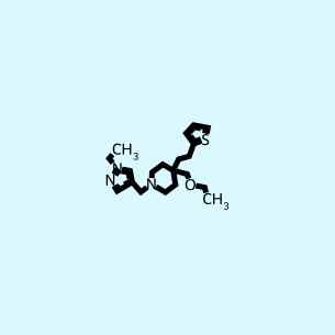 CCOCC1(CCc2cccs2)CCN(Cc2cnn(CC)c2)CC1